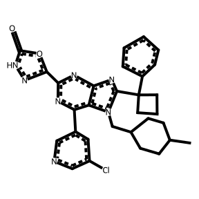 CC1CCC(Cn2c(C3(c4ccccc4)CCC3)nc3nc(-c4n[nH]c(=O)o4)nc(-c4cncc(Cl)c4)c32)CC1